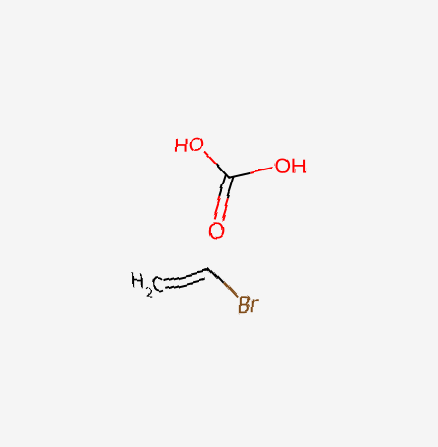 C=CBr.O=C(O)O